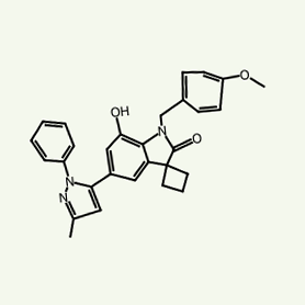 COc1ccc(CN2C(=O)C3(CCC3)c3cc(-c4cc(C)nn4-c4ccccc4)cc(O)c32)cc1